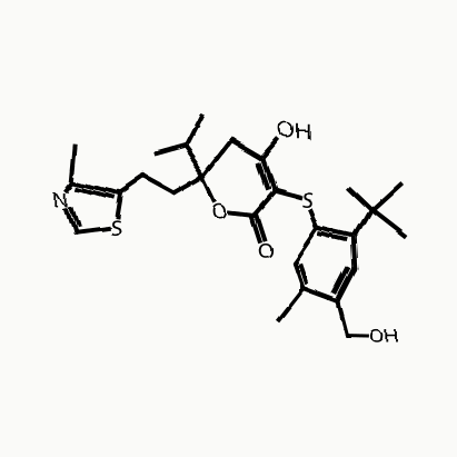 Cc1cc(SC2=C(O)CC(CCc3scnc3C)(C(C)C)OC2=O)c(C(C)(C)C)cc1CO